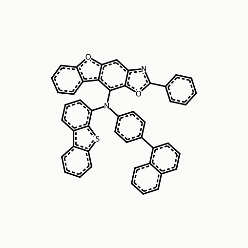 c1ccc(-c2nc3cc4oc5ccccc5c4c(N(c4ccc(-c5cccc6ccccc56)cc4)c4cccc5c4sc4ccccc45)c3o2)cc1